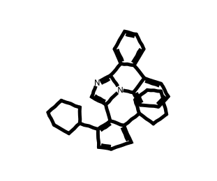 c1cc(C2CCCCC2)c(-c2cnc3c4ccccc4c4ccccc4n23)c(C2CCCCC2)c1